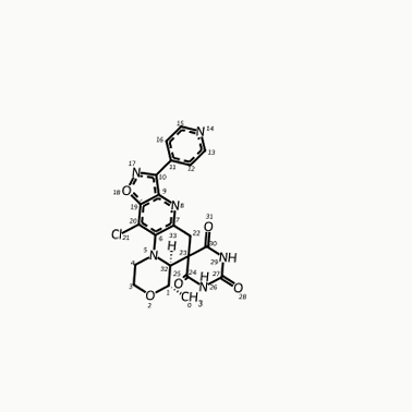 C[C@@H]1OCCN2c3c(nc4c(-c5ccncc5)noc4c3Cl)CC3(C(=O)NC(=O)NC3=O)[C@@H]12